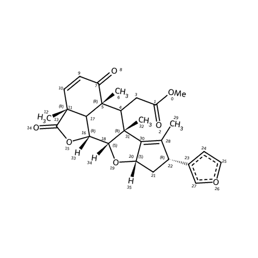 COC(=O)CC1[C@@]2(C)C(=O)C=C[C@@]3(C)C(=O)O[C@H](C23)[C@H]2O[C@H]3C[C@@H](c4ccoc4)C(C)=C3[C@@]12C